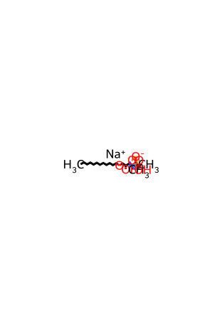 CCCCCCCCCCCCOCC(O)CN(C)C(C(C)O)S(=O)(=O)[O-].[Na+]